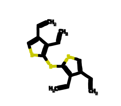 C=Cc1csc(Sc2scc(C=C)c2C=C)c1C=C